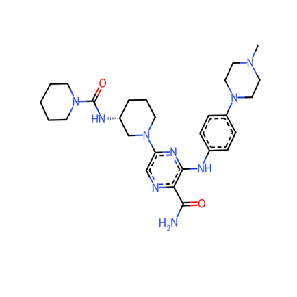 CN1CCN(c2ccc(Nc3nc(N4CCC[C@@H](NC(=O)N5CCCCC5)C4)cnc3C(N)=O)cc2)CC1